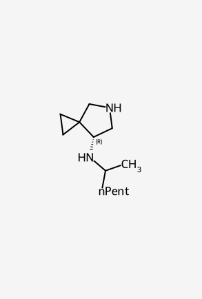 CCCCCC(C)N[C@H]1CNCC12CC2